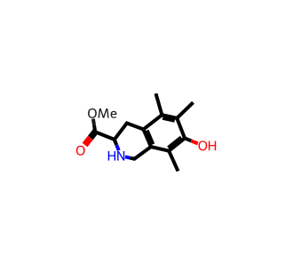 COC(=O)C1Cc2c(C)c(C)c(O)c(C)c2CN1